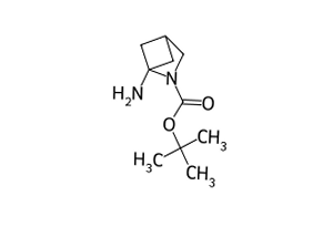 CC(C)(C)OC(=O)N1CC2CC1(N)C2